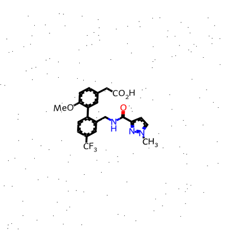 COc1ccc(CC(=O)O)cc1-c1ccc(C(F)(F)F)cc1CNC(=O)c1ccn(C)n1